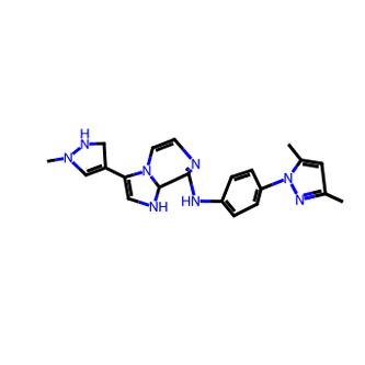 Cc1cc(C)n(-c2ccc(NC3=NC=CN4C(C5=CN(C)NC5)=CNC34)cc2)n1